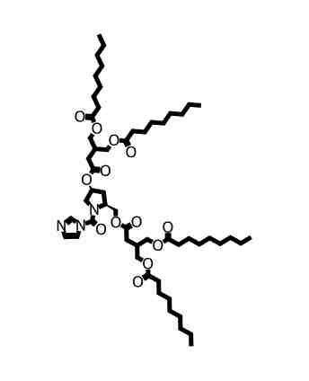 CCCCCCCCC(=O)OCC(COC(=O)CCCCCCCC)CC(=O)OC[C@@H]1C[C@@H](OC(=O)CC(COC(=O)CCCCCCCC)COC(=O)CCCCCCCC)CN1C(=O)n1ccnc1